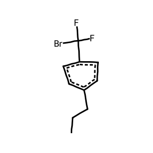 CCCc1ccc(C(F)(F)Br)cc1